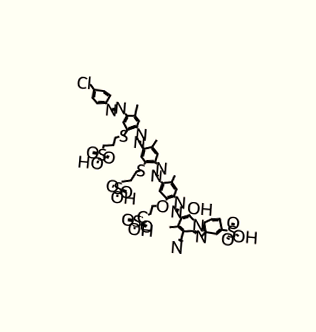 Cc1cc(N=Nc2cc(SCCCS(=O)(=O)O)c(N=Nc3cc(OCCCS(=O)(=O)O)c(N=Nc4c(C)c(C#N)c5nc6cc(S(=O)(=O)O)ccc6n5c4O)cc3C)cc2C)c(SCCCS(=O)(=O)O)cc1N=Nc1ccc(Cl)cc1